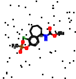 CC(C)(C)OC(=O)N[C@@H]1CCCCc2c1ccc(OS(=O)(=O)C(F)(F)F)c2F